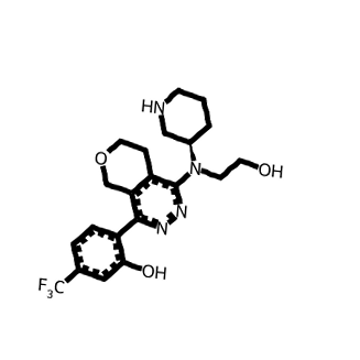 OCCN(c1nnc(-c2ccc(C(F)(F)F)cc2O)c2c1CCOC2)[C@@H]1CCCNC1